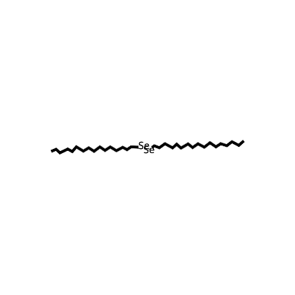 CCCCCCCCCCCCCCCCC[Se][Se]CCCCCCCCCCCCCCCCC